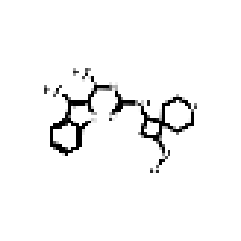 CCOC1CC(NC(=O)N[C@H](C)c2oc3ccccc3c2C)C12CCOCC2